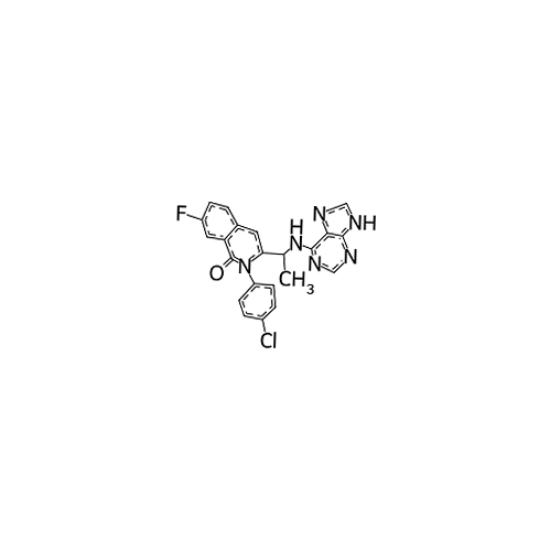 CC(Nc1ncnc2[nH]cnc12)c1cc2ccc(F)cc2c(=O)n1-c1ccc(Cl)cc1